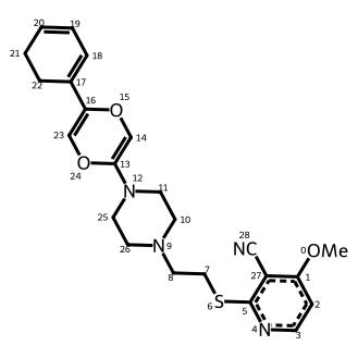 COc1ccnc(SCCN2CCN(C3=COC(C4=CC=CCC4)=CO3)CC2)c1C#N